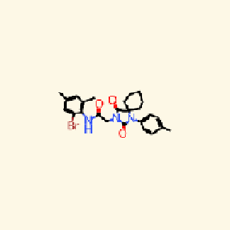 Cc1ccc(N2C(=O)N(CC(=O)Nc3c(C)cc(C)cc3Br)C(=O)C23CCCCC3)cc1